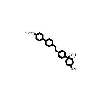 CCCCCC1CCC(C2CCC(CCc3ccc(C4(C(=O)O)CCC(CCC)CC4)cc3)CC2)CC1